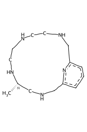 C[C@H]1CNCc2cccc(n2)CNCCNCCN1